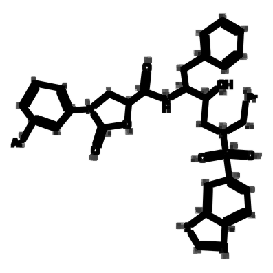 CC(=O)c1cccc(N2CC(C(=O)NC(Cc3ccccc3)C(O)CN(CC(C)C)S(=O)(=O)c3ccc4ncsc4c3)OC2=O)c1